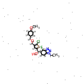 CCn1nnc2c(F)c(C(O)c3cc(COCc4ccc(OC)cc4)c(Cl)s3)ccc21